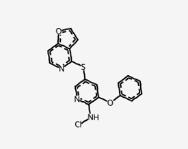 ClNc1ncc(Sc2nccc3occc23)cc1Oc1ccccc1